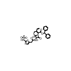 C=CC1=C(C(=O)OC(c2ccccc2)c2ccccc2)N2C(=O)C(NC(=O)Cc3cnc(NS(C)(=O)=O)s3)[C@H]2SC1